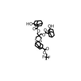 CC(F)(F)COC(=O)C12CC3CC(C1)C1(SCC(COC(=O)C45CC6CC(CC(O)(C6)C4)C5)(COC(=O)C45CC6CC(CC(O)(C6)C4)C5)CS1)C(C3)C2